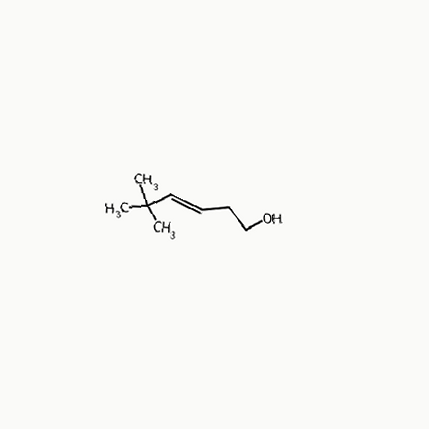 CC(C)(C)/C=C/CCO